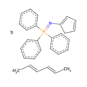 C1=CCC(N=P(c2ccccc2)(c2ccccc2)c2ccccc2)=C1.CC=CC=CC.[Ti]